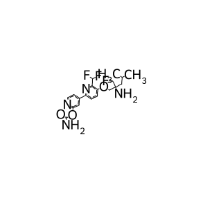 CC(C)CC(N)(CF)COc1ccc(-c2ccnc(OC(N)=O)c2)nc1C(F)F